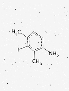 Cc1ccc(N)c(C)c1I